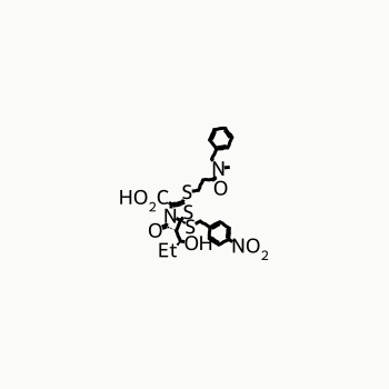 CC[C@H](O)[C@@H]1C(=O)N2C(C(=O)O)=C(SCCC(=O)N(C)Cc3ccccc3)S[C@]12SCc1ccc([N+](=O)[O-])cc1